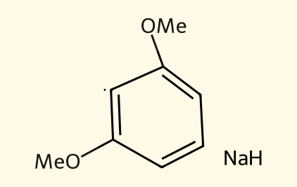 COc1[c]c(OC)ccc1.[NaH]